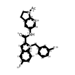 CC(=O)N1CCc2cc(NC(=O)c3cc4cc(F)ccc4n3Cc3cccc(F)c3)cnc21